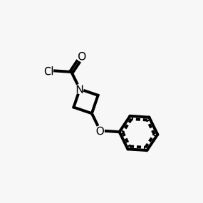 O=C(Cl)N1CC(Oc2ccccc2)C1